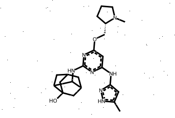 Cc1cc(Nc2cc(OC[C@@H]3CCCN3C)nc(NC3C4CC5CC3C(O)(C5)C4)n2)n[nH]1